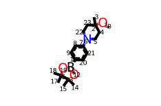 COC1(C)CCN(c2ccc(B3OC(C)(C)C(C)(C)O3)cc2)CC1